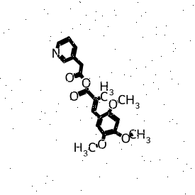 COc1cc(OC)c(OC)cc1/C=C(\C)C(=O)OC(=O)Cc1cccnc1